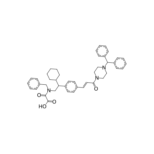 O=C(O)C(=O)N(Cc1ccccc1)CC(c1ccc(C=CC(=O)N2CCN(C(c3ccccc3)c3ccccc3)CC2)cc1)C1CCCCC1